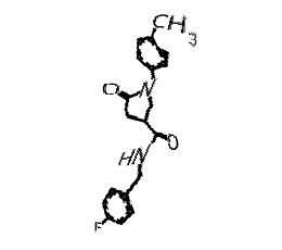 Cc1ccc(N2CC(C(=O)NCc3ccc(F)cc3)CC2=O)cc1